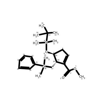 COC(=O)C1=CC[C@H](O[Si](C)(C)C(C)(C)C)[C@H]1C[Si](C)(C)c1ccccc1